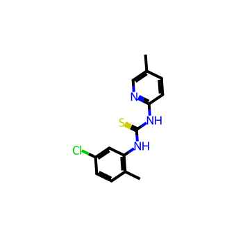 Cc1ccc(NC(=S)Nc2cc(Cl)ccc2C)nc1